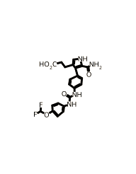 NC(=O)c1[nH]cc(CCC(=O)O)c1-c1ccc(NC(=O)Nc2ccc(OC(F)F)cc2)cc1